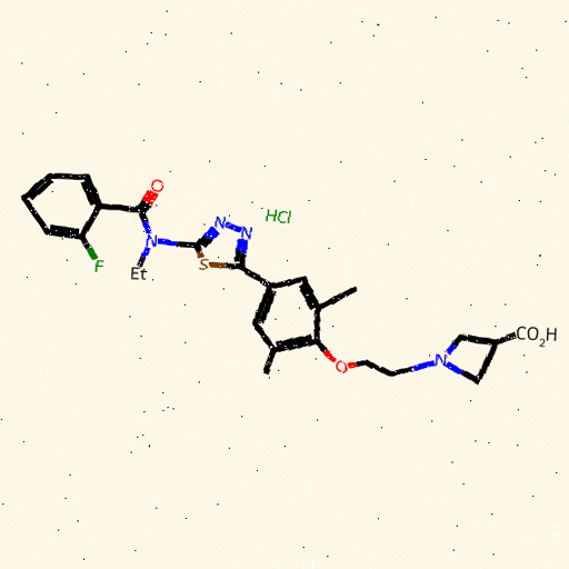 CCN(C(=O)c1ccccc1F)c1nnc(-c2cc(C)c(OCCN3CC(C(=O)O)C3)c(C)c2)s1.Cl